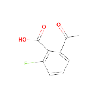 CC(=O)c1cccc(F)c1C(=O)O